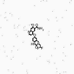 COc1cc2nccc(Oc3ccc4c(c3)CN(CC(F)F)C(=O)N4)c2cc1C(N)=O